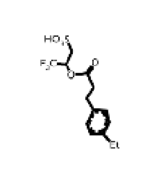 CCc1ccc(CCC(=O)OC(CS(=O)(=O)O)C(F)(F)F)cc1